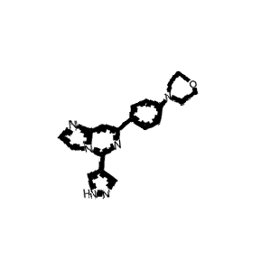 c1cn2c(-c3cn[nH]c3)nc(-c3ccc(N4CCOCC4)cc3)cc2n1